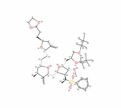 C=C1C[C@H](CCC2OCCO2)O[C@H]1CC[C@H]1C[C@H](C)C(=C)[C@@H](C[C@@H]2O[C@H](C[C@@H](CO[Si](C)(C)C(C)(C)C)O[Si](C)(C)C(C)(C)C)[C@H](OC)[C@H]2[C@H](C)S(=O)(=O)c2ccccc2)O1